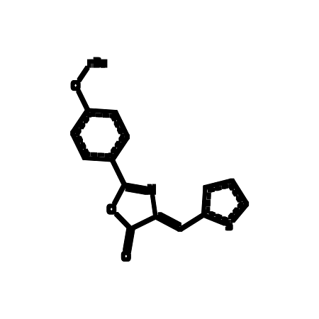 CCCCOc1ccc(C2=N/C(=C\c3cccs3)C(=O)O2)cc1